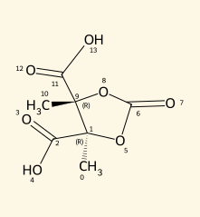 C[C@@]1(C(=O)O)OC(=O)O[C@@]1(C)C(=O)O